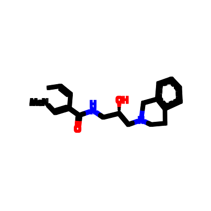 C/C=C\C(=C/NC)C(=O)NC[C@H](O)CN1CCc2ccccc2C1